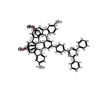 CC(C)(C)c1ccc2c(c1)c1cc(C(C)(C)C)ccc1n2-c1cc(-c2ccc(-c3nc(-c4ccccc4)nc(-c4ccccc4)n3)cc2)cc(-n2c3ccc(C(C)(C)C)cc3c3cc(C(C)(C)C)ccc32)c1-n1c2ccc(C(C)(C)C)cc2c2cc(C(C)(C)C)ccc21